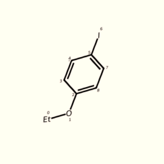 CCOc1c[c]c(I)cc1